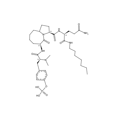 CCCCCCCNC(=O)[C@H](CCC(N)=O)NC(=O)[C@@H]1CCC2CCCC[C@H](NC(=O)[C@H](Cc3ccc(OP(=O)(O)O)cc3)N(C)C)C(=O)N21